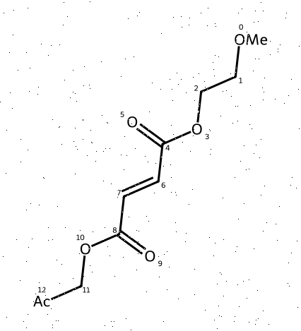 COCCOC(=O)/C=C/C(=O)OCC(C)=O